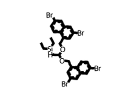 CC[SiH](CC)CC(OCc1cc(Br)cc2cc(Br)ccc12)OCc1cc(Br)cc2cc(Br)ccc12